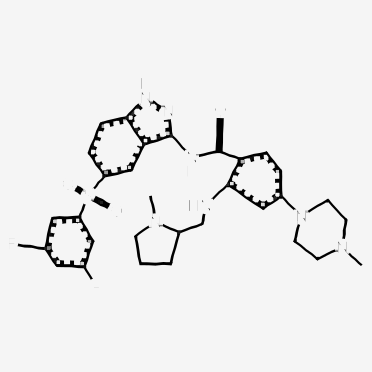 CN1CCN(c2ccc(C(=O)Nc3n[nH]c4ccc(S(=O)(=O)c5cc(F)cc(F)c5)cc34)c(NCC3CCCN3C)c2)CC1